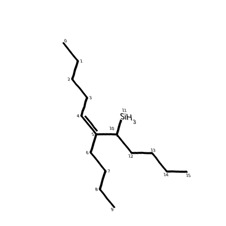 CCCCC=C(CCCC)[C]([SiH3])CCCC